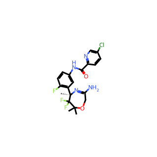 CC1(C)OCC(N)=N[C@](C)(c2cc(NC(=O)c3ccc(Cl)cn3)ccc2F)C1(F)F